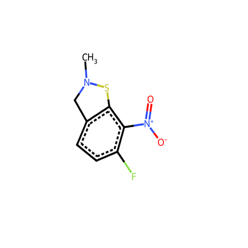 CN1Cc2ccc(F)c([N+](=O)[O-])c2S1